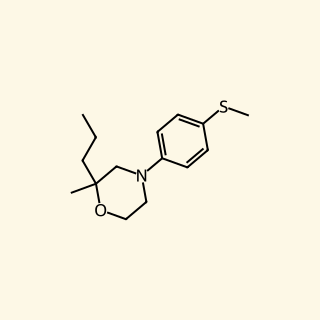 CCCC1(C)CN(c2ccc(SC)cc2)CCO1